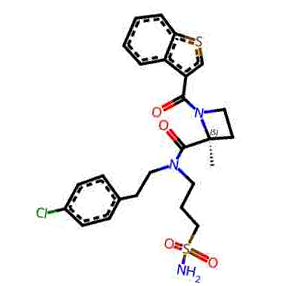 C[C@@]1(C(=O)N(CCCS(N)(=O)=O)CCc2ccc(Cl)cc2)CCN1C(=O)c1csc2ccccc12